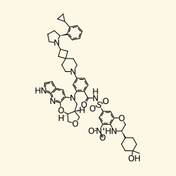 CC1(O)CCC([C@@H]2COc3cc(S(=O)(=O)NC(=O)c4ccc(N5CCC6(CC5)CC(N5CCC[C@H]5c5ccccc5C5CC5)C6)cc4N4C[C@@H]5COC[C@H]5Oc5nc6[nH]ccc6cc54)cc([N+](=O)[O-])c3N2)CC1